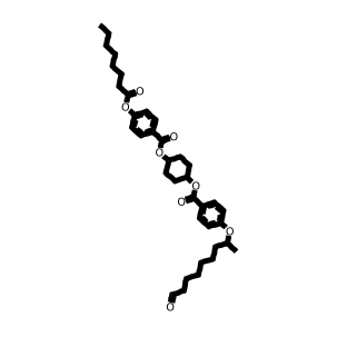 CCCCCCCC(=O)Oc1ccc(C(=O)OC2CCC(OC(=O)c3ccc(OC(C)CCCCCCC=O)cc3)CC2)cc1